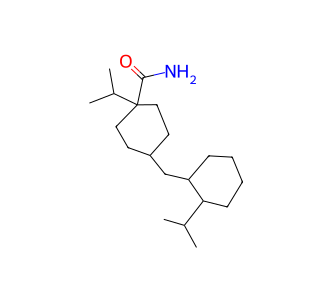 CC(C)C1CCCCC1CC1CCC(C(N)=O)(C(C)C)CC1